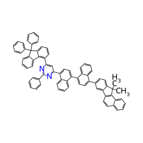 CC1(C)c2ccc(-c3ccc(-c4ccc(-c5cc(-c6cccc7c6-c6ccccc6C7(c6ccccc6)c6ccccc6)nc(-c6ccccc6)n5)c5ccccc45)c4ccccc34)cc2-c2ccc3ccccc3c21